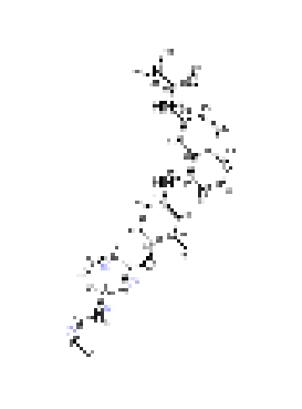 C\C=C/N=C(C)/C=C(\C=C/C)Oc1ccc(Nc2ncnc3ccc(NC(=O)N(C)C)cc23)cc1C